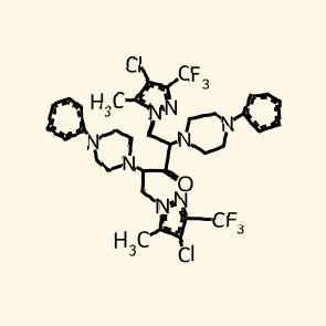 Cc1c(Cl)c(C(F)(F)F)nn1CC(C(=O)C(Cn1nc(C(F)(F)F)c(Cl)c1C)N1CCN(c2ccccc2)CC1)N1CCN(c2ccccc2)CC1